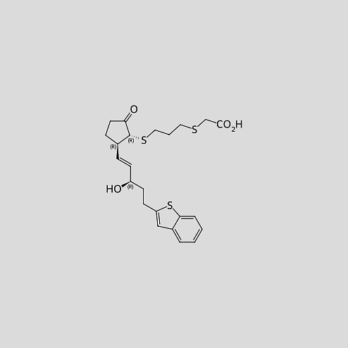 O=C(O)CSCCCS[C@H]1C(=O)CC[C@@H]1C=C[C@H](O)CCc1cc2ccccc2s1